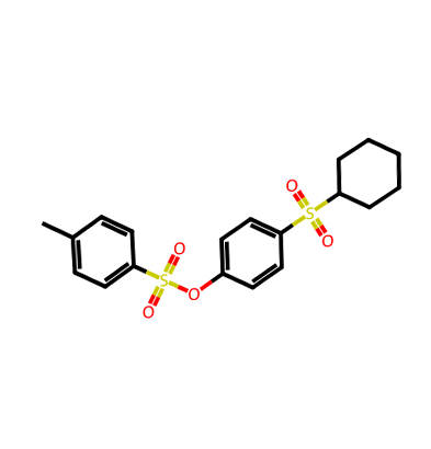 Cc1ccc(S(=O)(=O)Oc2ccc(S(=O)(=O)C3CCCCC3)cc2)cc1